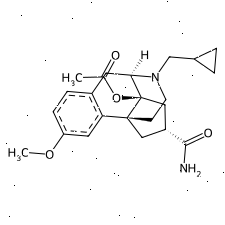 COc1ccc2c(c1)[C@]13CCN(CC4CC4)[C@H](C2)[C@]1(OC(C)=O)C[C@H](C(N)=O)C3